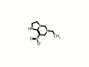 CCN1CC([N+](=O)[O-])=C2NCCN2C1